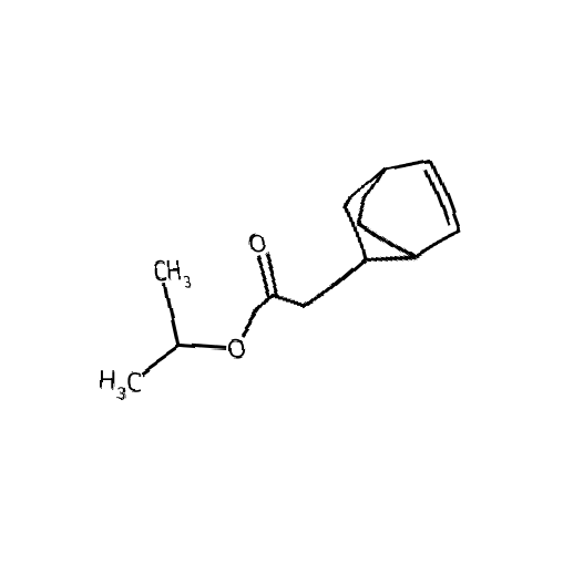 CC(C)OC(=O)CC1CC2C=CC1C2